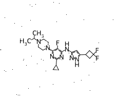 CC(C)N1CCN(c2nc(C3CC3)nc(Nc3cc(C4CC(F)(F)C4)[nH]n3)c2F)CC1